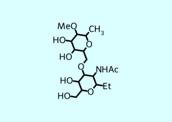 CCC1OC(CO)C(O)C(OCC2OC(C)C(OC)C(O)C2O)C1NC(C)=O